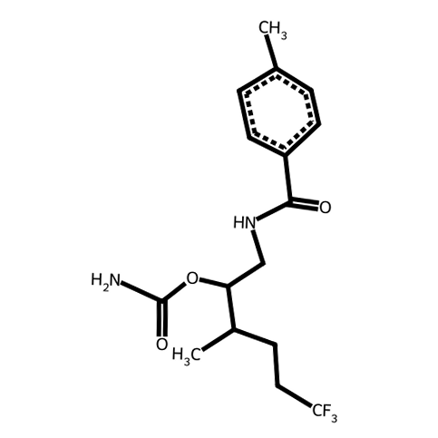 Cc1ccc(C(=O)NCC(OC(N)=O)C(C)CCC(F)(F)F)cc1